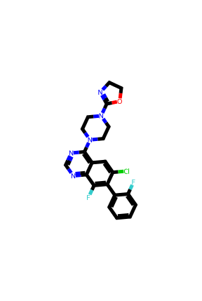 Fc1ccccc1-c1c(Cl)cc2c(N3CCN(C4=NCCO4)CC3)ncnc2c1F